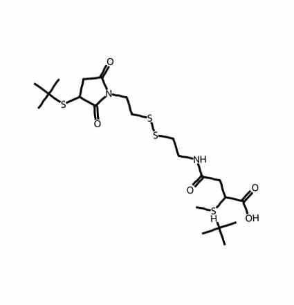 C[SH](C(CC(=O)NCCSSCCN1C(=O)CC(SC(C)(C)C)C1=O)C(=O)O)C(C)(C)C